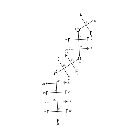 CC(F)(F)OC(F)(F)C(F)(F)OC(F)(F)C(F)(F)OC(F)(F)C(F)(F)C(F)(F)C(F)(F)F